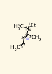 C=C/C=C(\C)N(C)CC